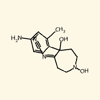 Cc1cc(N)ccc1C1(O)CCN(O)CCC1=NC#N